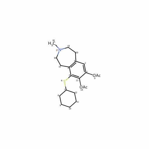 CC(=O)Oc1cc2c(c(SC3CCCCC3)c1OC(C)=O)CCN(C)CC2